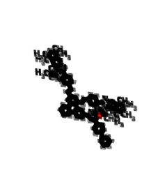 CC(C)(C)c1nc2cc(CCc3cc(CCc4ccc5c(c4)nc(C(C)(C)C)n4c6cc7c(cc6nc54)C(C)(C)CC7(C)C)cc(-c4ccccc4-c4ccc(-c5cc(-c6ccc(-c7ccccc7)cc6)ccn5)cc4)c3)ccc2c2nc3cc4c(cc3n12)C(C)(C)CC4(C)C